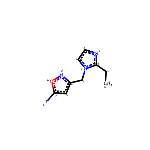 CCc1nccn1Cc1cc(I)on1